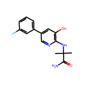 CC(C)(Nc1ncc(-c2cccc(F)c2)cc1O)C(N)=O